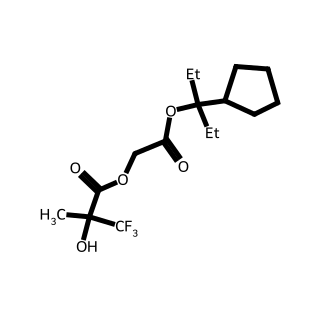 CCC(CC)(OC(=O)COC(=O)C(C)(O)C(F)(F)F)C1CCCC1